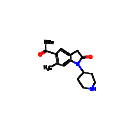 CNC(=O)c1cc2c(cc1C)N(C1CCNCC1)C(=O)C2